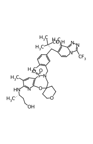 Cc1ccc([C@@H](c2ccn3c(C(F)(F)F)nnc3c2C)C(C)(C)C(=O)O)cc1CN1CC2(CCOCC2)Oc2nc(N[C@@H](C)CCO)c(C)cc2S1(=O)=O